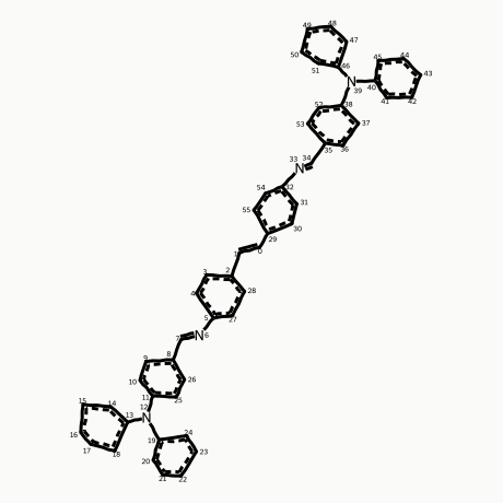 C(=Cc1ccc(N=Cc2ccc(N(c3ccccc3)c3ccccc3)cc2)cc1)c1ccc(N=Cc2ccc(N(c3ccccc3)c3ccccc3)cc2)cc1